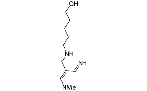 CN/C=C(\C=N)CNCCCCCO